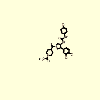 CC(=O)N1CCC(C(=O)N2CC(NC(=O)Nc3ccc(Cl)cc3)C(c3ccc(Cl)c(Cl)c3)C2)CC1